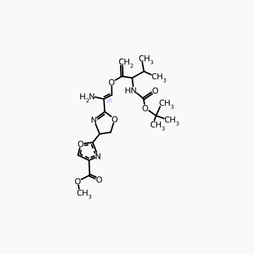 C=C(O/C=C(\N)C1=NC(c2nc(C(=O)OC)co2)CO1)C(NC(=O)OC(C)(C)C)C(C)C